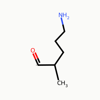 CC([C]=O)CCCN